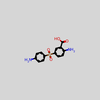 Nc1ccc(S(=O)(=O)c2ccc(N)c(C(=O)O)c2)cc1